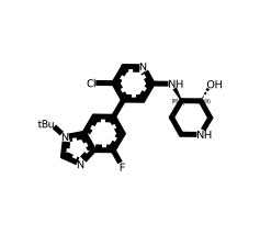 CC(C)(C)n1cnc2c(F)cc(-c3cc(N[C@@H]4CCNC[C@H]4O)ncc3Cl)cc21